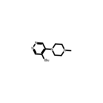 CN1CCN(c2cnncc2C(C)(C)C)CC1